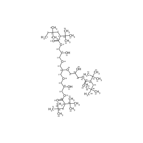 CCC(C)(C)CC(C(=O)OCC(O)COCC(COCC(O)COC(=O)C(CC(C)(C)C)C(C)(C)C)OCC(O)COC(=O)C(CC(C)(C)C)C(C)(C)C)C(C)(C)C